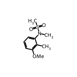 COc1cccc(N(C)S(C)(=O)=O)c1C